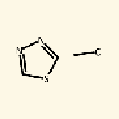 CCl.c1nncs1